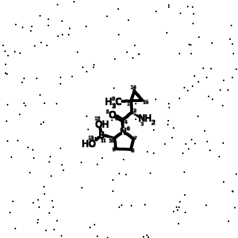 CC1([C@H](N)C(=O)N2CCC[C@H]2B(O)O)CC1